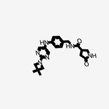 CC1(C)CN(c2ncc(Nc3ccc(CNC(=O)C4CNC(=O)C4)cc3)cn2)C1